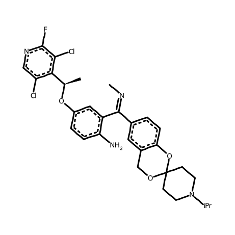 C/N=C(/c1ccc2c(c1)COC1(CCN(C(C)C)CC1)O2)c1cc(O[C@H](C)c2c(Cl)cnc(F)c2Cl)ccc1N